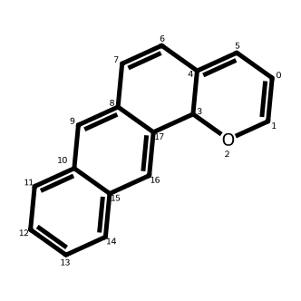 C1=COC2C(=C1)C=Cc1cc3ccccc3cc12